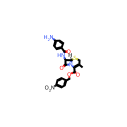 CC1=C(C(=O)OCc2ccc([N+](=O)[O-])cc2)N2C(=O)C(NC(=O)c3ccc(N)cc3)[C@H]2SC1